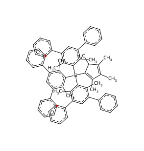 CC1=C(C)C(C)C([Si](c2c(C)c(-c3ccccc3)cc(-c3ccccc3)c2C)(c2c(C)c(-c3ccccc3)cc(-c3ccccc3)c2C)c2c(C)c(-c3ccccc3)cc(-c3ccccc3)c2C)=C1C